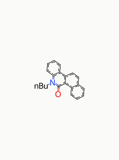 CCCCn1c(=O)c2c3ccccc3ccc2c2ccccc21